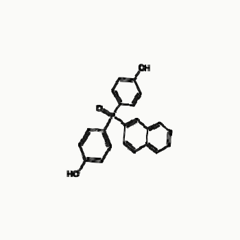 O=P(c1ccc(O)cc1)(c1ccc(O)cc1)c1ccc2ccccc2c1